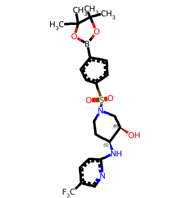 CC1(C)OB(c2ccc(S(=O)(=O)N3CC[C@H](Nc4ccc(C(F)(F)F)cn4)[C@H](O)C3)cc2)OC1(C)C